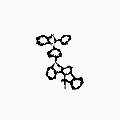 CC1(C)c2ccccc2-c2ccc3c(c21)c1ccccc1n3-c1ccc(-n2c(-c3ccccc3)nc3ccccc32)cc1